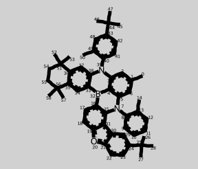 Cc1cc2c3c(c1)N(c1ccccc1C)c1c(ccc4oc5ccc(C(C)(C)C)cc5c14)B3c1cc3c(cc1N2c1ccc(C(C)(C)C)cc1C)C(C)(C)CCC3(C)C